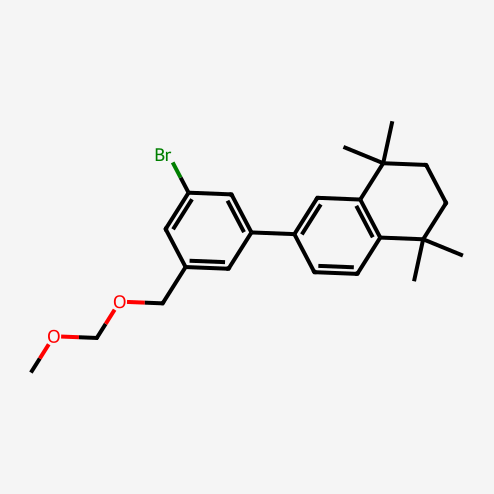 COCOCc1cc(Br)cc(-c2ccc3c(c2)C(C)(C)CCC3(C)C)c1